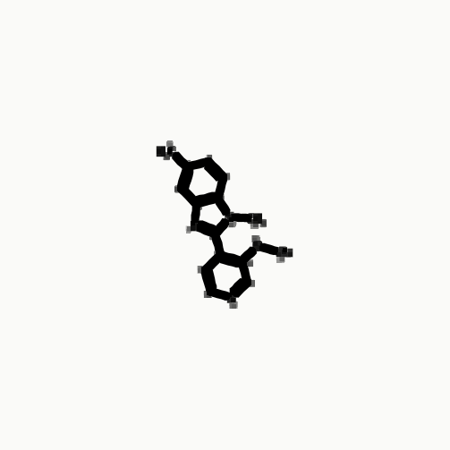 Cc1ccc2c(c1)nc(-c1ccncc1OC(C)(C)C)n2C